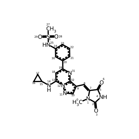 CN1C(=O)NC(=O)/C1=C/c1cnn2c(NC3CC3)cc(-c3cccc(NS(C)(=O)=O)c3)nc12